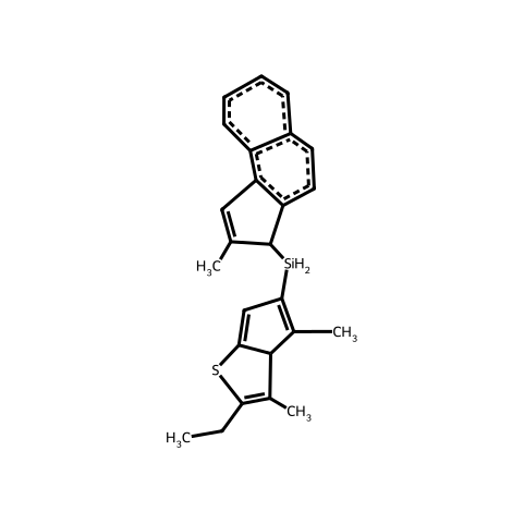 CCC1=C(C)C2C(=CC([SiH2]C3C(C)=Cc4c3ccc3ccccc43)=C2C)S1